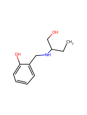 CCC(CO)NCc1ccccc1O